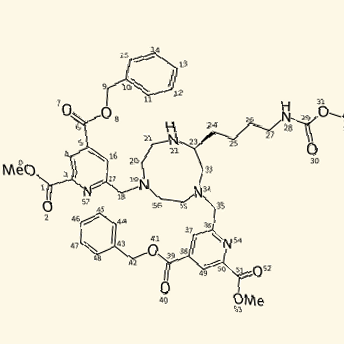 COC(=O)c1cc(C(=O)OCc2ccccc2)cc(CN2CCN[C@@H](CCCCNC(=O)OC(C)(C)C)CN(Cc3cc(C(=O)OCc4ccccc4)cc(C(=O)OC)n3)CC2)n1